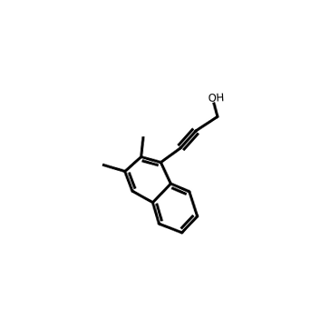 Cc1cc2ccccc2c(C#CCO)c1C